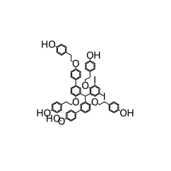 OOc1ccc(-c2ccc(OCCc3ccc(O)cc3)c(C(c3cc(-c4ccc(OCCc5ccc(O)cc5)cc4)ccc3OCCc3ccc(O)cc3)c3cc(I)cc(I)c3OCCc3ccc(O)cc3)c2)cc1